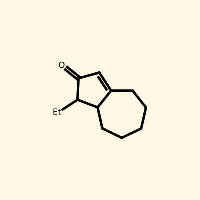 CCC1C(=O)C=C2CCCCCC21